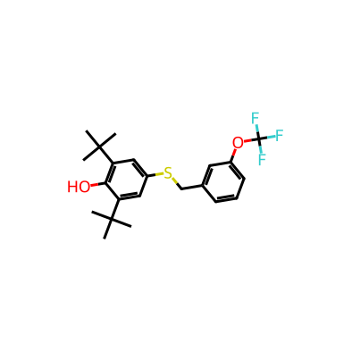 CC(C)(C)c1cc(SCc2cccc(OC(F)(F)F)c2)cc(C(C)(C)C)c1O